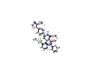 CCOC(=O)C1=C(c2ccc(-c3ocnc3C)cc2)NC(C)=C(C(=O)Nc2ccccn2)C1c1ccccc1Cl